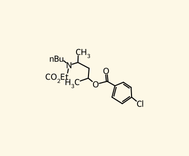 CCCCN(C(=O)OCC)C(C)CC(C)OC(=O)c1ccc(Cl)cc1